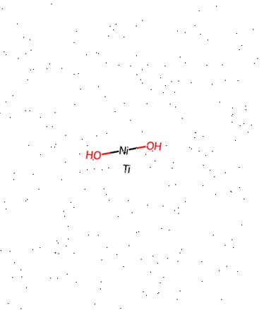 [OH][Ni][OH].[Ti]